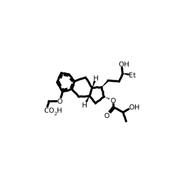 CC[C@H](O)CC[C@@H]1[C@H]2Cc3cccc(OCC(=O)O)c3C[C@H]2C[C@H]1OC(=O)C(C)O